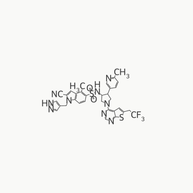 Cc1ccc(C2CN(c3ncnc4sc(CC(F)(F)F)cc34)CC2NS(=O)(=O)c2ccc3c(cc(C#N)n3Cc3cn[nH]c3)c2C)cn1